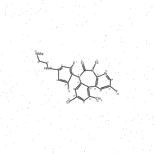 CCN1C(=O)N(c2c(F)cc(NCCNC)cc2F)c2cc(Cl)cc(C)c2-c2cc(F)cnc21